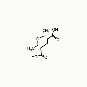 CCOCC.O=C(O)CCCC(=O)O